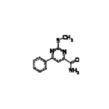 CSc1nc(C(N)=O)cc(-c2ccccc2)n1